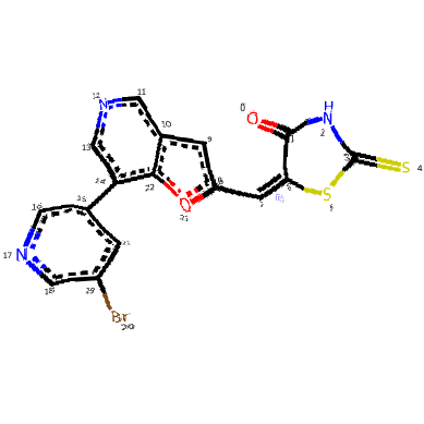 O=C1NC(=S)S/C1=C/c1cc2cncc(-c3cncc(Br)c3)c2o1